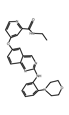 CCNC(=O)c1cc(Oc2ccc3nc(Nc4ccccc4N4CCOCC4)ncc3c2)ccn1